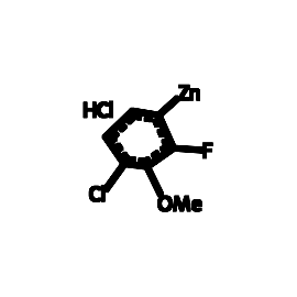 COc1c(Cl)cc[c]([Zn])c1F.Cl